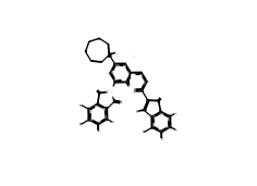 O=C1C(c2ccc3cc(C4(S(=O)(=O)O)CCCCCC4)cc(N4C(=O)c5c(Cl)c(Cl)c(Cl)c(Cl)c5C4=O)c3n2)=C(O)c2c(Cl)c(Cl)c(Cl)c(Cl)c21